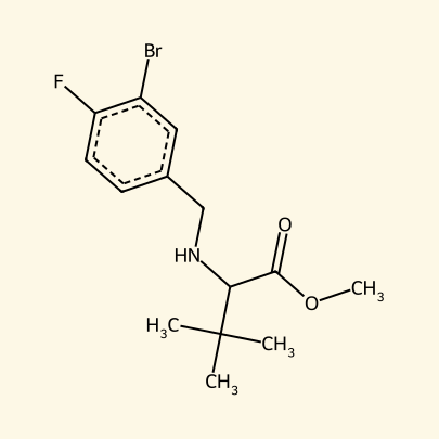 COC(=O)C(NCc1ccc(F)c(Br)c1)C(C)(C)C